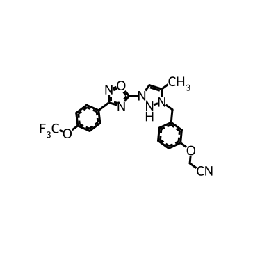 CC1=CN(c2nc(-c3ccc(OC(F)(F)F)cc3)no2)NN1Cc1cccc(OCC#N)c1